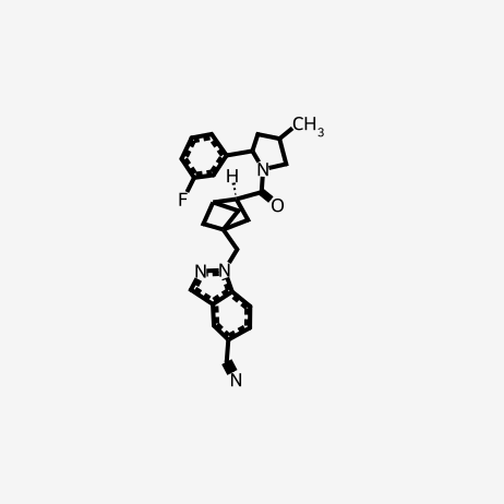 CC1CC(c2cccc(F)c2)N(C(=O)[C@H]2CC3(Cn4ncc5cc(C#N)ccc54)CC2C3)C1